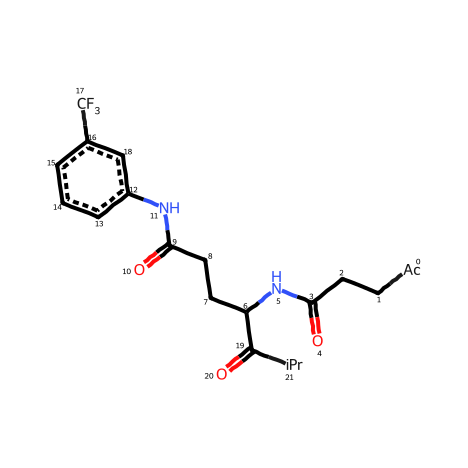 CC(=O)CCC(=O)NC(CCC(=O)Nc1cccc(C(F)(F)F)c1)C(=O)C(C)C